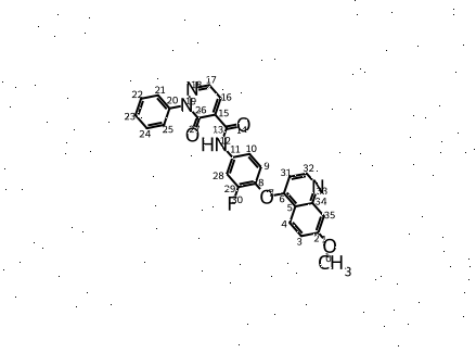 COc1ccc2c(Oc3ccc(NC(=O)c4ccnn(-c5ccccc5)c4=O)cc3F)ccnc2c1